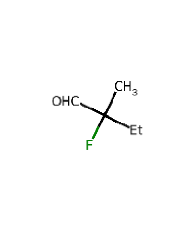 CCC(C)(F)C=O